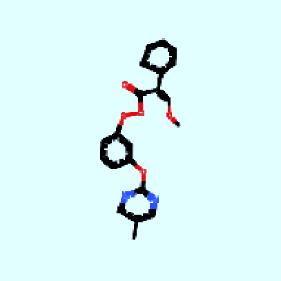 COC=C(C(=O)OOc1cccc(Oc2ncc(C)cn2)c1)c1ccccc1